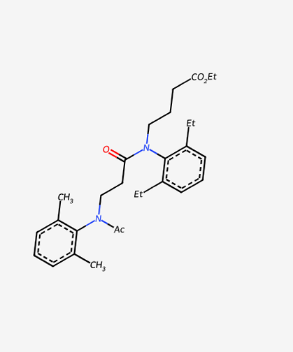 CCOC(=O)CCCN(C(=O)CCN(C(C)=O)c1c(C)cccc1C)c1c(CC)cccc1CC